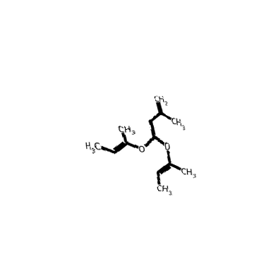 C=C(C)CC(OC(C)=CC)OC(C)=CC